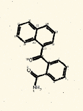 NC(=O)c1ccccc1C(=O)c1cccc2ccccc12